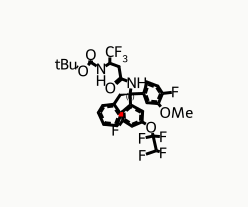 COc1cc([C@@](Cc2ccccc2)(NC(=O)CC(NC(=O)OC(C)(C)C)C(F)(F)F)c2cc(F)cc(OC(F)(F)C(F)F)c2)ccc1F